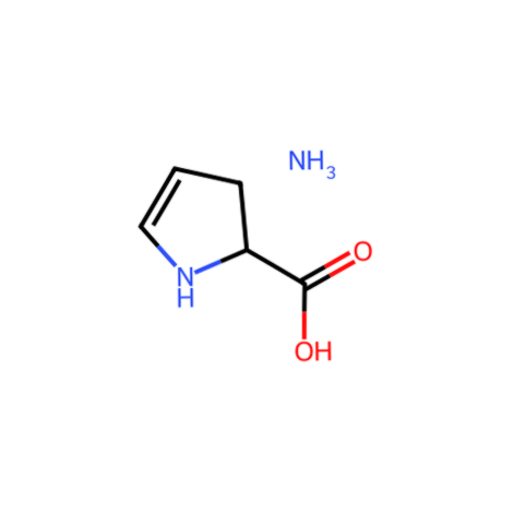 N.O=C(O)C1CC=CN1